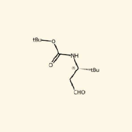 CC(C)(C)OC(=O)N[C@@H](CC=O)C(C)(C)C